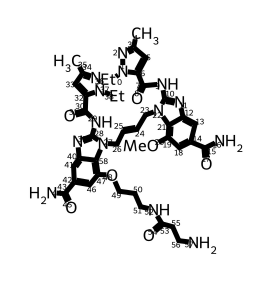 CCn1nc(C)cc1C(=O)Nc1nc2cc(C(N)=O)cc(OC)c2n1C/C=C/Cn1c(NC(=O)c2cc(C)nn2CC)nc2cc(C(N)=O)cc(OCCCNC(=O)CCN)c21